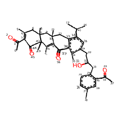 CC(=O)C1=C(C)CC2(C)CC3(C)Cc4c(C(C)C)cc(CC(O)Cc5ccc(C)cc5C(C)=O)c(C)c4C(=O)C3=C(C)C2(C)C1=O